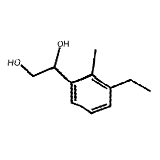 CCc1cccc(C(O)CO)c1C